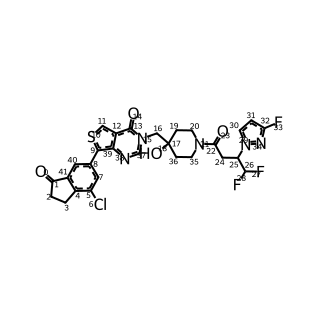 O=C1CCc2c(Cl)cc(-c3scc4c(=O)n(CC5(O)CCN(C(=O)CC(C(F)F)n6ccc(F)n6)CC5)cnc34)cc21